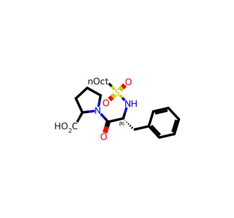 CCCCCCCCS(=O)(=O)N[C@H](Cc1ccccc1)C(=O)N1CCCC1C(=O)O